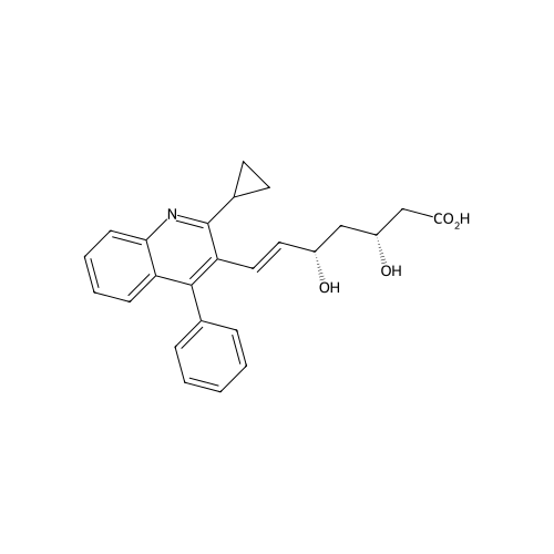 O=C(O)C[C@H](O)C[C@H](O)C=Cc1c(C2CC2)nc2ccccc2c1-c1ccccc1